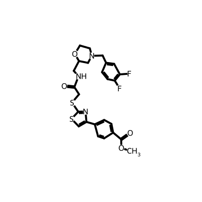 COC(=O)c1ccc(-c2csc(SCC(=O)NCC3CN(Cc4ccc(F)c(F)c4)CCO3)n2)cc1